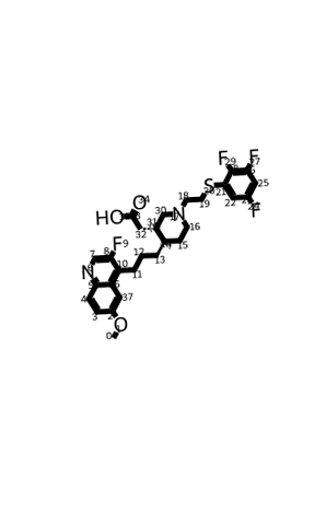 COc1ccc2ncc(F)c(CCC[C@@H]3CCN(CCSc4cc(F)cc(F)c4F)C[C@H]3CC(=O)O)c2c1